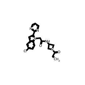 C=CC(=O)N1CC(NC(=O)Cn2c(-c3ncccn3)cc3cc(Cl)ccc32)C1